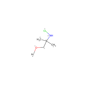 CC(=O)OCC(C)(C)NCl